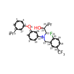 CC(C)c1cccc(Oc2cccc(N(Cc3cc(C(F)(F)F)ccc3F)CC(O)C(C)C)c2)c1